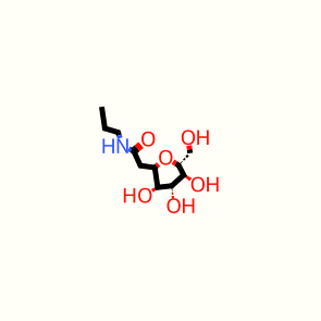 CCCNC(=O)CC1O[C@H](CO)[C@@H](O)[C@H](O)[C@H]1O